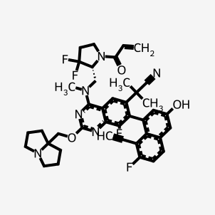 C#Cc1c(F)ccc2cc(O)cc(-c3c(C(C)(C)C#N)cc4c(N(C)C[C@H]5N(C(=O)C=C)CCC5(F)F)nc(OCC56CCCN5CCC6)nc4c3F)c12